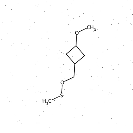 COC1CC(COSC)C1